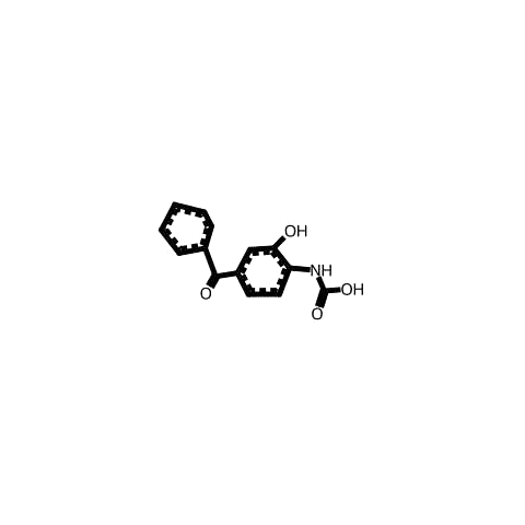 O=C(O)Nc1ccc(C(=O)c2ccccc2)cc1O